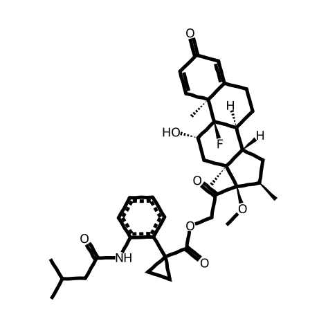 CO[C@]1(C(=O)COC(=O)C2(c3ccccc3NC(=O)CC(C)C)CC2)[C@H](C)C[C@H]2[C@@H]3CCC4=CC(=O)C=C[C@]4(C)[C@@]3(F)[C@@H](O)C[C@@]21C